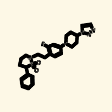 O=S1(=O)C(c2ccccc2)CCCN1CCc1ccc(N2CCC(n3ccnn3)CC2)cc1F